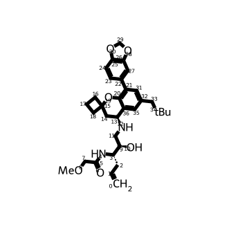 C=CC[C@H](NC(=O)COC)[C@H](O)CN[C@H]1CC2(CCC2)Oc2c(-c3ccc4c(c3)OCO4)cc(CC(C)(C)C)cc21